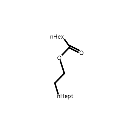 [CH2]CCCCCCCCOC(=O)CCCCCC